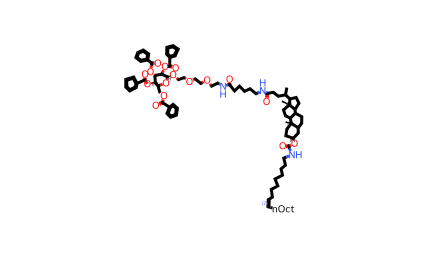 CCCCCCCC/C=C\CCCCCCCCNC(=O)O[C@@H]1CC[C@@]2(C)C(CCC3C4CCC(C(C)CCC(=O)NCCCCCC(=O)NCCOCCOCCO[C@H]5OC(COC(=O)c6ccccc6)[C@@H](OC(=O)c6ccccc6)C(OC(=O)c6ccccc6)C5OC(=O)c5ccccc5)[C@@]4(C)CCC32)C1